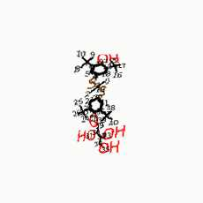 CC(C)(Sc1cc(C(C)(C)C)c(O)c(C(C)(C)C)c1)Sc1cc(C(C)(C)C)c(OCC(O)C(O)CO)c(C(C)(C)C)c1